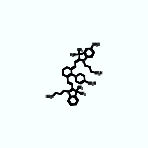 CC1(C)C(/C=C/C2=C(N3CC=C(C(=O)O)CC3)C(=C/C=C3\N(CCCS(=O)(=O)O)c4ccc(S(=O)(=O)O)cc4C3(C)C)/CCC2)=[N+](CCCS(=O)(=O)O)c2ccccc21